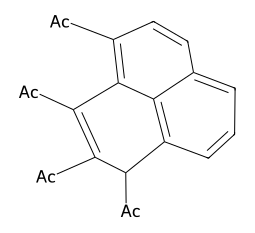 CC(=O)C1=C(C(C)=O)C(C(C)=O)c2cccc3ccc(C(C)=O)c1c23